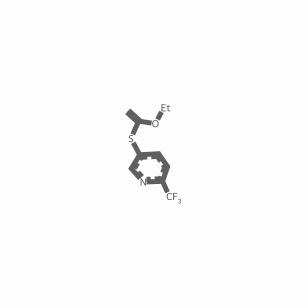 C=C(OCC)Sc1ccc(C(F)(F)F)nc1